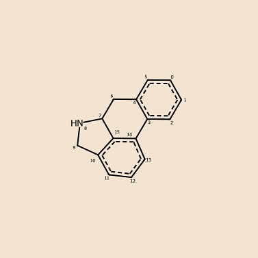 c1ccc2c(c1)CC1NCc3cccc-2c31